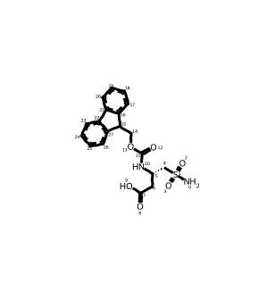 NS(=O)(=O)C[C@H](CC(=O)O)NC(=O)OCC1c2ccccc2-c2ccccc21